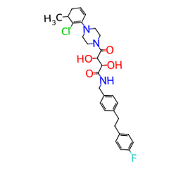 CC1CC=CC(N2CCN(C(=O)[C@H](O)[C@@H](O)C(=O)NCc3ccc(CCc4ccc(F)cc4)cc3)CC2)=C1Cl